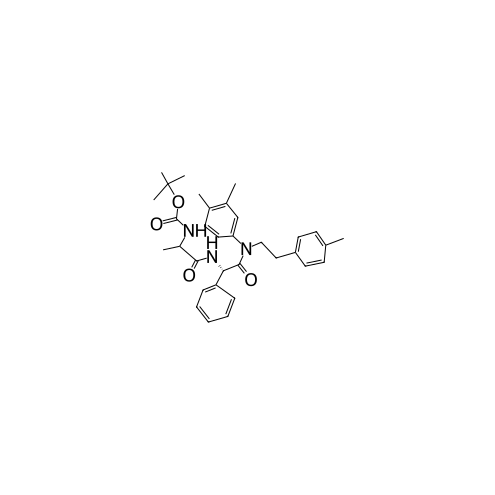 Cc1ccc(CCN(C(=O)[C@@H](NC(=O)C(C)NC(=O)OC(C)(C)C)c2ccccc2)c2ccc(C)c(C)c2)cc1